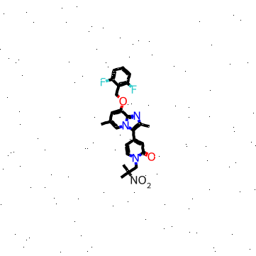 Cc1cc(OCc2c(F)cccc2F)c2nc(C)c(-c3ccn(CC(C)(C)[N+](=O)[O-])c(=O)c3)n2c1